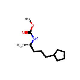 CC(C)(C)OC(=O)N[C@@H](CCCC1CCCC1)C(=O)O